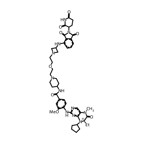 CC[C@@H]1C(=O)N(C)c2cnc(Nc3ccc(C(=O)NC4CCN(CCOCCN5CC(Nc6cccc7c6C(=O)N(C6CCC(=O)NC6=O)C7=O)C5)CC4)cc3OC)nc2N1C1CCCC1